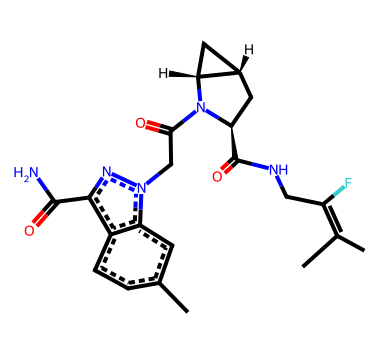 CC(C)=C(F)CNC(=O)[C@@H]1C[C@H]2C[C@H]2N1C(=O)Cn1nc(C(N)=O)c2ccc(C)cc21